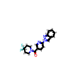 O=C(c1ccc(-n2cc3ccccc3n2)nc1)N1CCC(F)(F)CC1